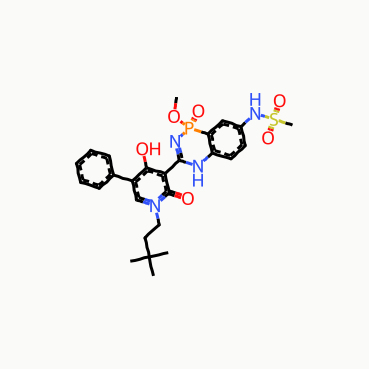 COP1(=O)N=C(c2c(O)c(-c3ccccc3)cn(CCC(C)(C)C)c2=O)Nc2ccc(NS(C)(=O)=O)cc21